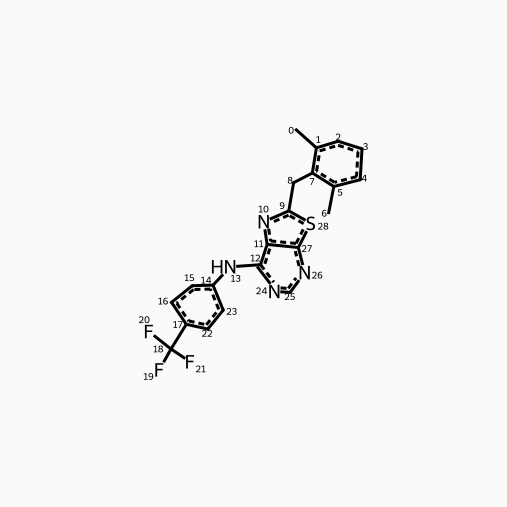 Cc1cccc(C)c1Cc1nc2c(Nc3ccc(C(F)(F)F)cc3)ncnc2s1